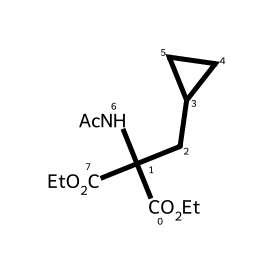 CCOC(=O)C(CC1CC1)(NC(C)=O)C(=O)OCC